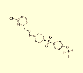 O=S(=O)(c1ccc(OC(F)(F)F)cc1)N1CCC(=NOCc2cccc(Cl)n2)CC1